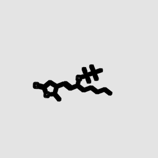 CCCCCC(C=CC1CC(=O)OC1C)O[Si](C)(C)C(C)(C)C